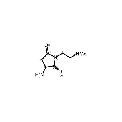 CNCCN1C(=O)CC(N)C1=O